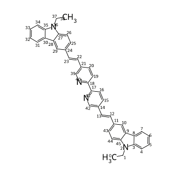 CCn1c2ccccc2c2cc(/C=C/c3ccc(-c4ccc(/C=C/c5ccc6c(c5)c5ccccc5n6CC)cn4)nc3)ccc21